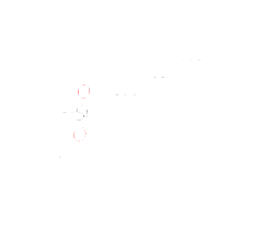 C=CCCCCCC[Si](C)(OC)OCC